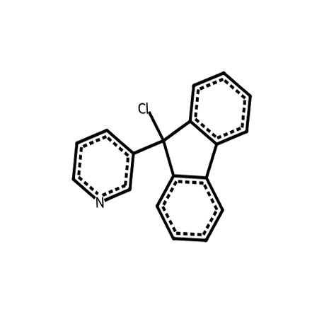 ClC1(c2cccnc2)c2ccccc2-c2ccccc21